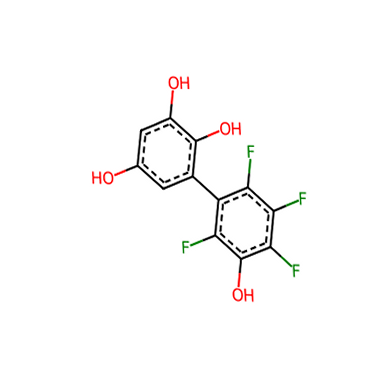 Oc1cc(O)c(O)c(-c2c(F)c(O)c(F)c(F)c2F)c1